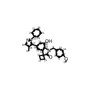 COc1ccc(CN2C(=O)C3(CCC3)c3cc(-c4c(C)cnn4-c4ccccc4)cc(O)c32)cc1